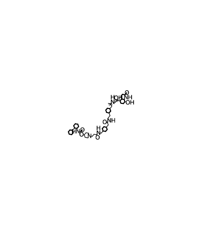 C[C@H](Cc1cccc(CCNC(=O)Cc2ccc(CNC(=O)CCN3CCC(OC(=O)Nc4ccccc4-c4ccccc4)CC3)cc2)c1)NC[C@@H](O)c1ccc(O)c2[nH]c(=O)ccc12